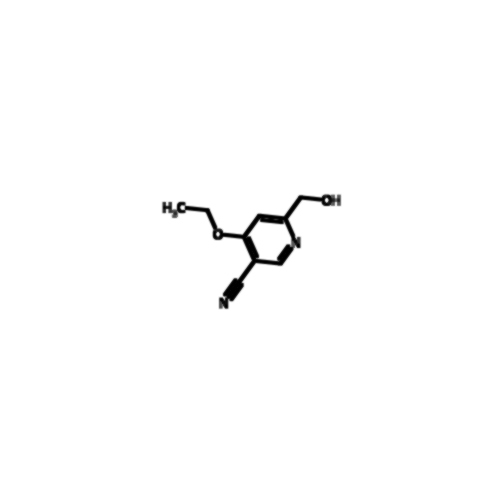 CCOc1cc(CO)ncc1C#N